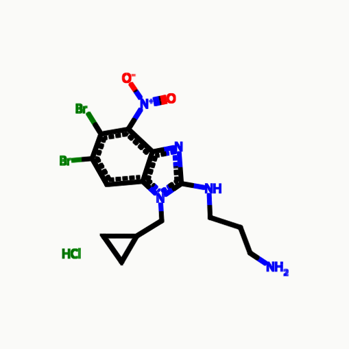 Cl.NCCCNc1nc2c([N+](=O)[O-])c(Br)c(Br)cc2n1CC1CC1